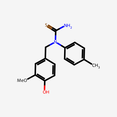 COc1cc(CN(C(N)=S)c2ccc(C)cc2)ccc1O